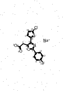 O=C([O-])Cc1oc(-c2ccc(F)cc2)nc1-c1ccc(Cl)s1.[Na+]